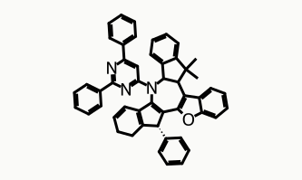 CC1(C)c2ccccc2C2C1c1c(oc3ccccc13)C1=C(C3=C(CCC=C3)[C@H]1c1ccccc1)N2c1cc(-c2ccccc2)nc(-c2ccccc2)n1